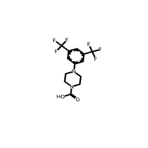 O=C(O)N1CCN(c2cc(C(F)(F)F)cc(C(F)(F)F)c2)CC1